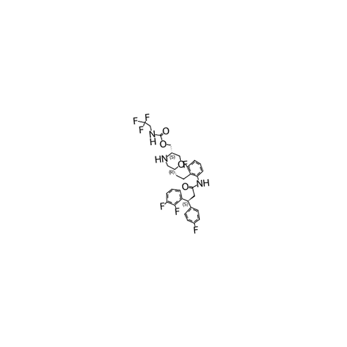 O=C(C[C@@H](c1ccc(F)cc1)c1cccc(F)c1F)Nc1cccc(F)c1CC[C@@H]1CN[C@H](COC(=O)NCC(F)(F)F)CO1